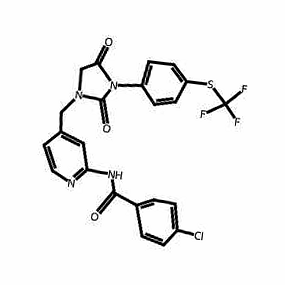 O=C(Nc1cc(CN2CC(=O)N(c3ccc(SC(F)(F)F)cc3)C2=O)ccn1)c1ccc(Cl)cc1